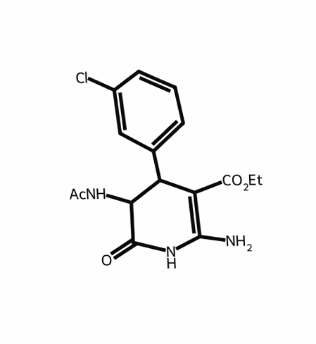 CCOC(=O)C1=C(N)NC(=O)C(NC(C)=O)C1c1cccc(Cl)c1